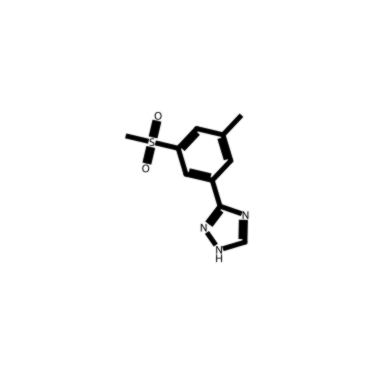 Cc1cc(-c2nc[nH]n2)cc(S(C)(=O)=O)c1